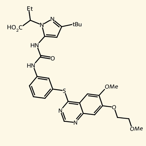 CCC(C(=O)O)n1nc(C(C)(C)C)cc1NC(=O)Nc1cccc(Sc2ncnc3cc(OCCOC)c(OC)cc23)c1